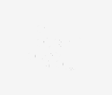 COc1ccc(CN(C[C@H](OC(=O)C(F)(F)F)C(c2ccccc2)c2ccccc2)C(=O)c2nn(COCC[Si](C)(C)C)cc(OCc3ccccc3)c2=O)cc1